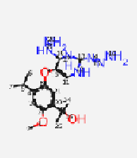 COc1cc(C(C)C)c(OC2=CNC(N=NN)NC2NN)cc1C(C)(C)O